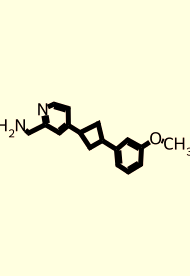 COc1cccc(C2CC(c3ccnc(CN)c3)C2)c1